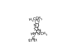 CCN(CC)CCNc1nc(C)nc2c1sc1nc3c(cc12)COC(C)(C)C3